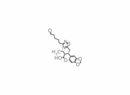 CCC(C(=O)O)[C@@H](Cc1nc(CCCCC=O)no1)c1ccc2c(c1)OCO2